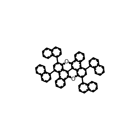 c1ccc2c(-c3cc(-c4cccc5ccccc45)c4c5ccccc5c5oc6c(-c7cccc8ccccc78)cc(-c7cccc8ccccc78)c7c8ccccc8c8oc3c4c5-c8c67)cccc2c1